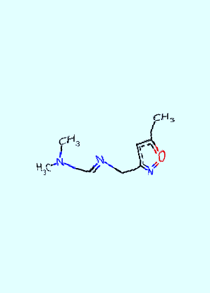 Cc1cc(C/N=C/N(C)C)no1